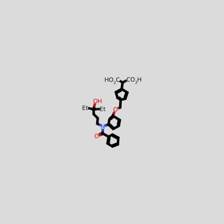 CCC(O)(CC)CCCN(C(=O)c1ccccc1)c1cccc(OCc2ccc(C(C(=O)O)C(=O)O)cc2)c1